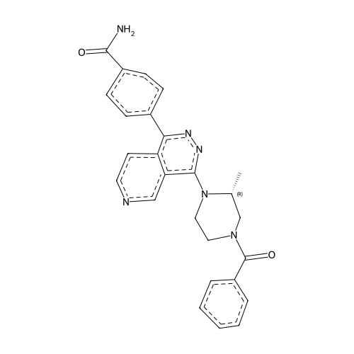 C[C@@H]1CN(C(=O)c2ccccc2)CCN1c1nnc(-c2ccc(C(N)=O)cc2)c2ccncc12